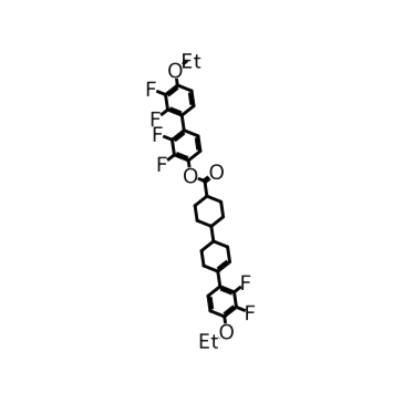 CCOc1ccc(C2=CCC(C3CCC(C(=O)Oc4ccc(-c5ccc(OCC)c(F)c5F)c(F)c4F)CC3)CC2)c(F)c1F